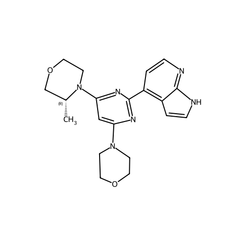 C[C@@H]1COCCN1c1cc(N2CCOCC2)nc(-c2ccnc3[nH]ccc23)n1